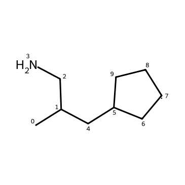 CC(CN)CC1C[CH]CC1